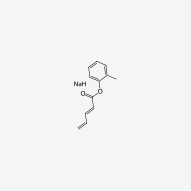 C=CC=CC(=O)Oc1ccccc1C.[NaH]